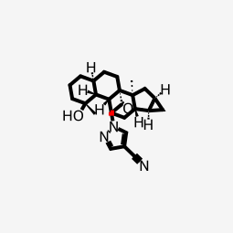 C[C@]12C[C@H]3C[C@H]3[C@@H]1CC[C@@H]1[C@H]3[C@@H](CCC[C@@]3(C)O)CC[C@]12C(=O)Cn1cc(C#N)cn1